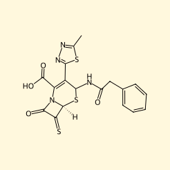 Cc1nnc(C2=C(C(=O)O)N3C(=O)C(=S)[C@@H]3SC2NC(=O)Cc2ccccc2)s1